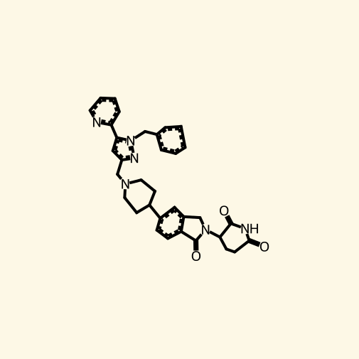 O=C1CCC(N2Cc3cc(C4CCN(Cc5cc(-c6ccccn6)n(Cc6ccccc6)n5)CC4)ccc3C2=O)C(=O)N1